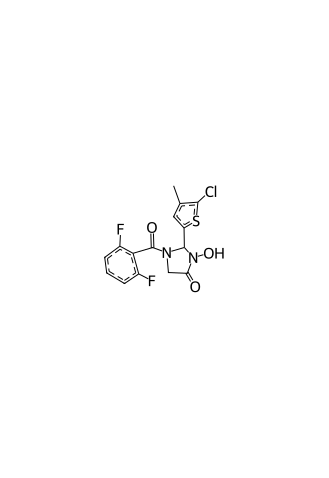 Cc1cc(C2N(O)C(=O)CN2C(=O)c2c(F)cccc2F)sc1Cl